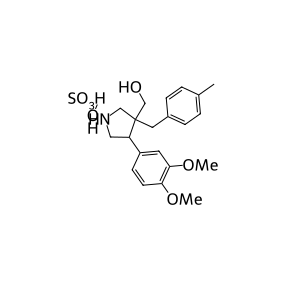 COc1ccc(C2CNCC2(CO)Cc2ccc(C)cc2)cc1OC.O=S(=O)(O)O